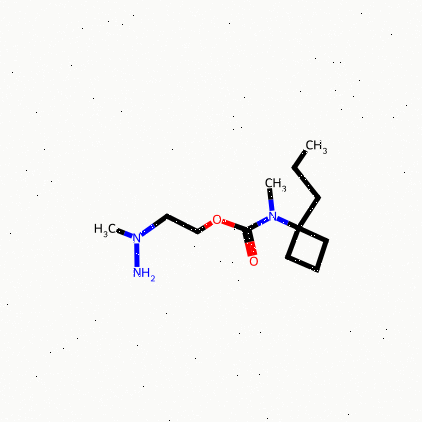 CCCC1(N(C)C(=O)OCCN(C)N)CCC1